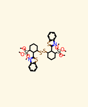 CO[Si](OC)(OC)C1CCCC(SSC2CCCC([Si](OC)(OC)OC)C2c2nc3ccccc3s2)C1c1nc2ccccc2s1